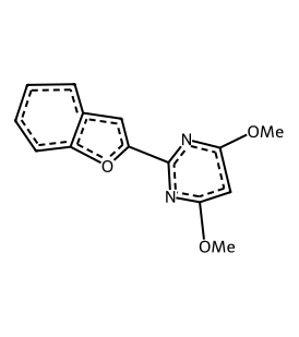 COc1cc(OC)nc(-c2cc3ccccc3o2)n1